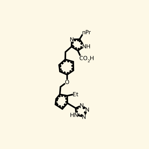 CCCc1nc(Cc2ccc(OCc3cccc(-c4nnn[nH]4)c3CC)cc2)c(C(=O)O)[nH]1